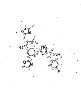 Cc1csc(CN(C(=O)c2cc(-c3ncco3)cc(-c3nnc([C@](C)(N)Cc4ccc(F)cc4)o3)c2)C2CC2)n1